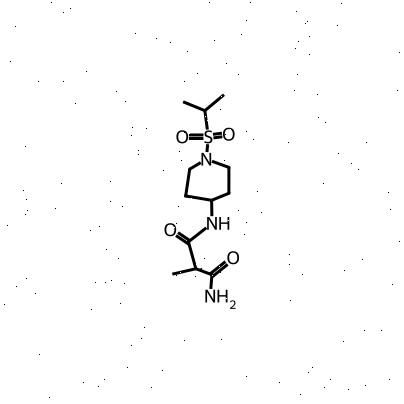 C[C](C(N)=O)C(=O)NC1CCN(S(=O)(=O)C(C)C)CC1